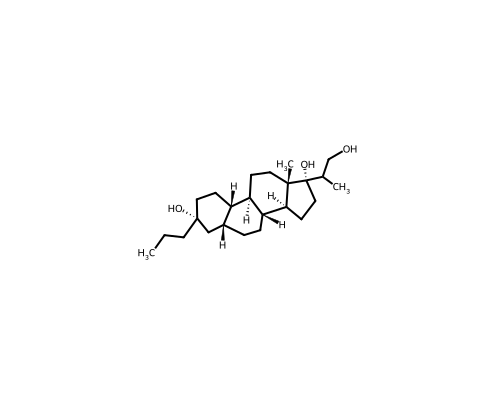 CCC[C@@]1(O)CC[C@H]2[C@H](CC[C@@H]3[C@@H]2CC[C@@]2(C)[C@H]3CC[C@]2(O)C(C)CO)C1